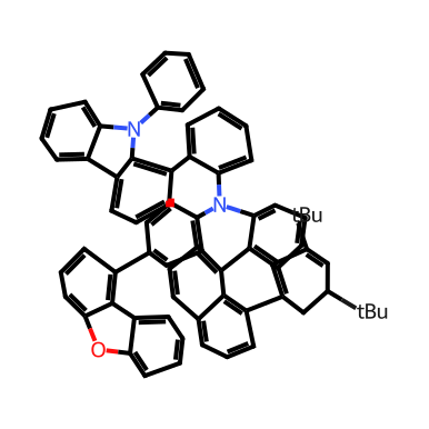 CC(C)(C)C1=CC(C(C)(C)C)CC(c2cccc3cccc(-c4ccccc4N(c4ccc(-c5cccc6oc7ccccc7c56)cc4)c4ccccc4-c4cccc5c6ccccc6n(-c6ccccc6)c45)c23)=C1